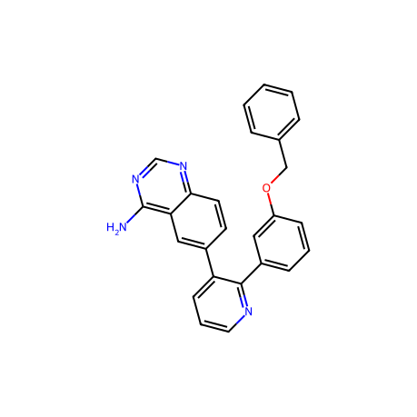 Nc1ncnc2ccc(-c3cccnc3-c3cccc(OCc4ccccc4)c3)cc12